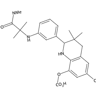 CNC(=O)C(C)(C)Nc1cccc(C2Nc3c(cc(Cl)cc3OC(=O)O)CC2(C)C)c1